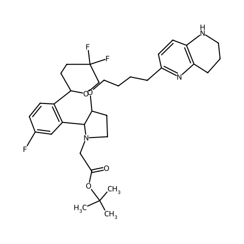 CC(C)(C)OC(=O)CN1CCC(OCCCCc2ccc3c(n2)CCCN3)C1c1cc(F)ccc1C1CCC(F)(F)CO1